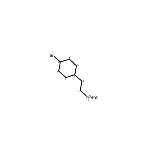 CCCCCCCC1CCC(Br)CC1